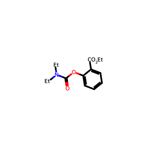 CCOC(=O)c1ccccc1OC(=O)N(CC)CC